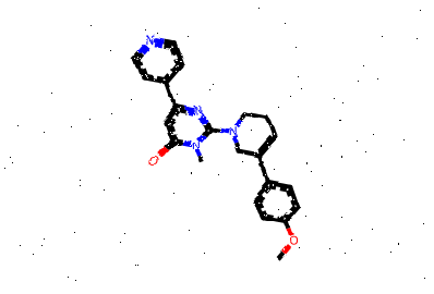 COc1ccc(C2=CCCN(c3nc(-c4ccncc4)cc(=O)n3C)C2)cc1